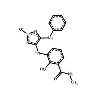 CNC(=O)c1cccc(Nc2n[s+]([O-])nc2Nc2ccccc2)c1O